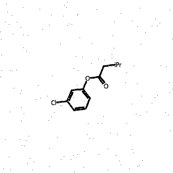 CC(C)CC(=O)Oc1cccc(Cl)c1